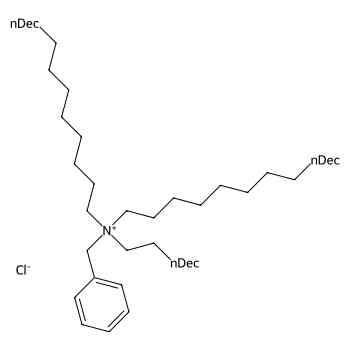 CCCCCCCCCCCCCCCCCC[N+](CCCCCCCCCCCC)(CCCCCCCCCCCCCCCCCC)Cc1ccccc1.[Cl-]